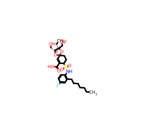 CCCCCCCc1cc(F)ccc1NS(=O)(=O)C1CCC2(C=C1C(=O)O)O[C@H](CO)[C@@](CC)(CO)O2